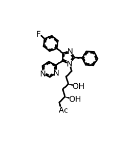 CC(=O)C[C@H](O)C[C@H](O)CCn1c(-c2ccccc2)nc(-c2ccc(F)cc2)c1-c1ccncn1